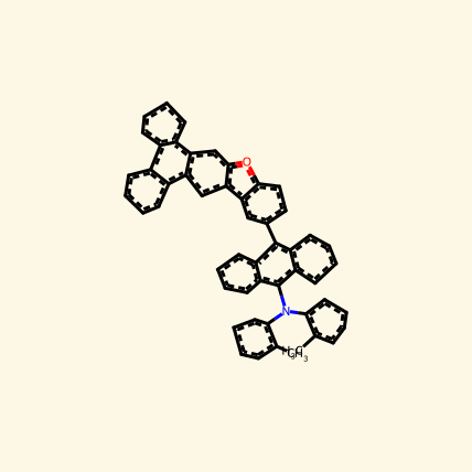 Cc1ccccc1N(c1ccccc1C)c1c2ccccc2c(-c2ccc3oc4cc5c6ccccc6c6ccccc6c5cc4c3c2)c2ccccc12